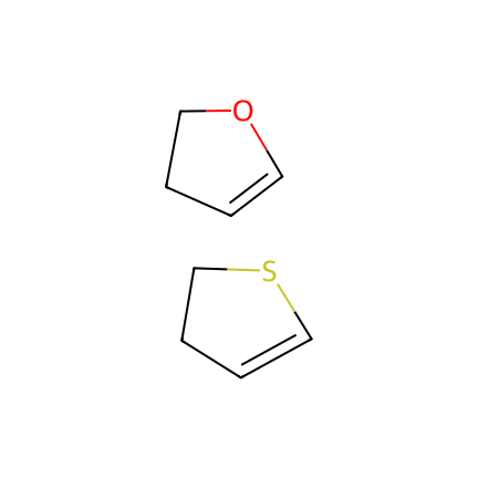 C1=COCC1.C1=CSCC1